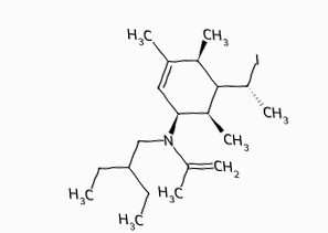 C=C(C)N(CC(CC)CC)[C@H]1C=C(C)[C@@H](C)C([C@@H](C)I)[C@H]1C